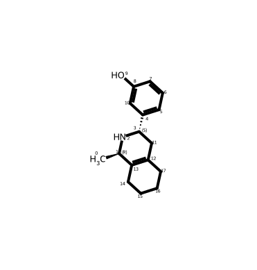 C[C@H]1N[C@H](c2cccc(O)c2)CC2=C1CCCC2